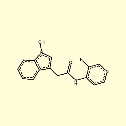 O=C(Cc1cn(O)c2ccccc12)Nc1ccncc1F